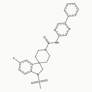 CS(=O)(=O)N1CC2(CCN(C(=O)Nc3cnc(-c4ccccc4)cn3)CC2)c2cc(F)ccc21